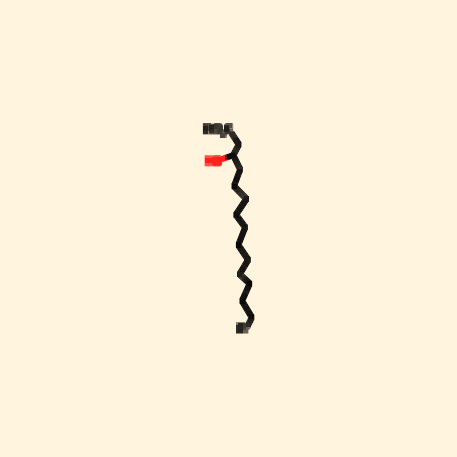 CCOC(=O)CC(O)CCCCCCCCCCCC(C)C